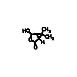 CC1(C)C2C(O)OC(=O)[C@H]21